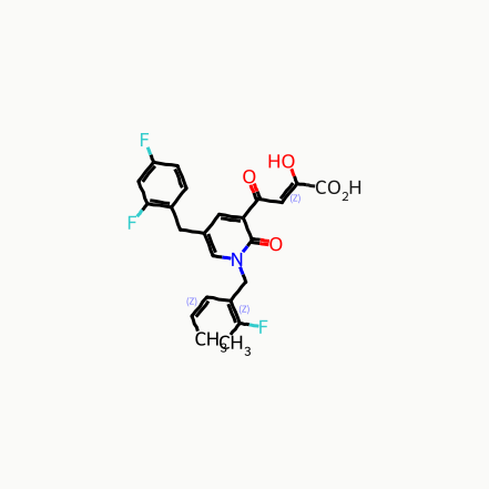 C/C=C\C(Cn1cc(Cc2ccc(F)cc2F)cc(C(=O)/C=C(\O)C(=O)O)c1=O)=C(/C)F